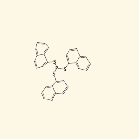 c1ccc2c(SP(Sc3cccc4ccccc34)Sc3cccc4ccccc34)cccc2c1